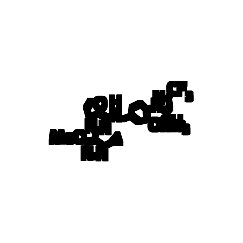 COc1cc(CNc2nc(-c3c(OC)ncnc3C3CC3)nc3ccoc23)ccc1-n1nc(C(F)(F)F)cc1C